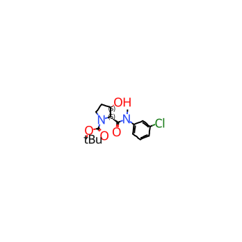 CN(C(=O)[C@@H]1[C@@H](O)CCN1C(=O)OC(C)(C)C)c1cccc(Cl)c1